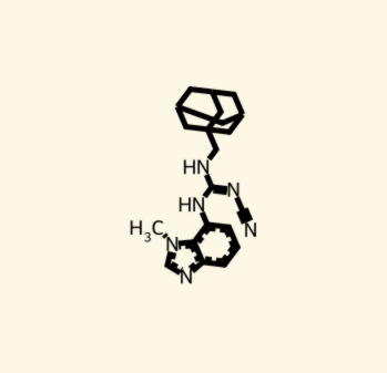 Cn1cnc2cccc(NC(=NC#N)NCC34CC5CC(CC(C5)C3)C4)c21